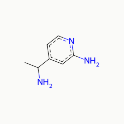 CC(N)c1ccnc(N)c1